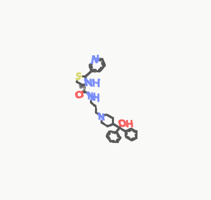 O=C(NCCCN1CCC(C(O)(c2ccccc2)c2ccccc2)CC1)[C@@H]1CSC(c2cccnc2)N1